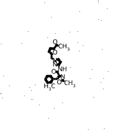 CC(=O)c1ccc(Cn2ccc(NC(=O)c3nc(C)oc3-c3ccccc3C)n2)o1